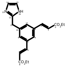 CCOC(=O)C=Cc1cc(C=CC(=O)OCC)cc(Cc2ncc[nH]2)c1